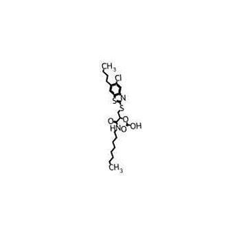 CCCCCCCCNC(=O)C(CSc1nc2cc(Cl)c(CCCC)cc2s1)OC(=O)O